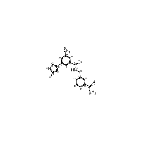 Cc1cn(-c2cc(C(=O)NCc3cccc(C(N)=O)c3)cc(C(F)(F)F)c2)cn1